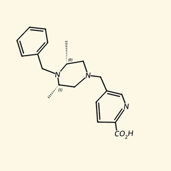 C[C@@H]1CN(Cc2ccc(C(=O)O)nc2)C[C@H](C)N1Cc1ccccc1